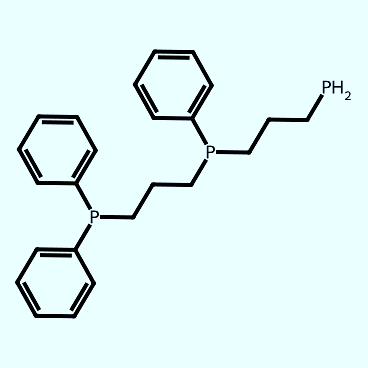 PCCCP(CCCP(c1ccccc1)c1ccccc1)c1ccccc1